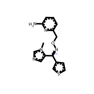 Cn1cncc1/C(=N\OCc1cccc(N)n1)c1ccsc1